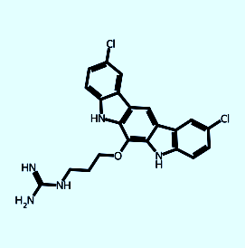 N=C(N)NCCCOc1c2[nH]c3ccc(Cl)cc3c2cc2c1[nH]c1ccc(Cl)cc12